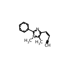 C#C/C=C\c1nc(-c2ccccc2)n(C)c1C